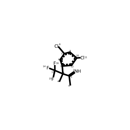 CC(=N)C(C)(c1cc(Cl)cc(Cl)c1)C(F)(F)F